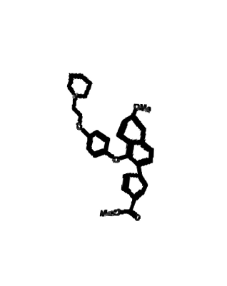 COC(=O)c1ccc(-c2ccc3cc(OC)ccc3c2Oc2ccc(OCCN3CCCCC3)cc2)cc1